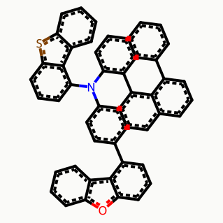 c1ccc(-c2cccc3cccc(-c4ccccc4N(c4ccc(-c5cccc6oc7ccccc7c56)cc4)c4cccc5sc6ccccc6c45)c23)cc1